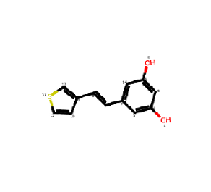 Oc1cc(O)cc(C=Cc2ccsc2)c1